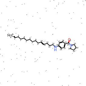 C=CCCCCCCCC/C=C/CCCNc1ccc(C(=O)N2CCCC2)cc1